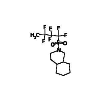 CC(F)(F)C(F)(F)C(F)(F)S(=O)(=O)N1CCC2CCCCC2C1